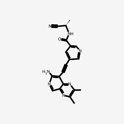 Cc1nc2cnc(N)c(C#Cc3cncc(C(=O)N[C@@H](C)C#N)c3)c2nc1C